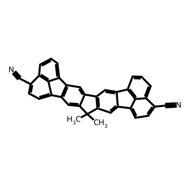 CC1(C)c2cc3c(cc2-c2cc4c(cc21)-c1ccc(C#N)c2cccc-4c12)-c1cccc2c(C#N)ccc-3c12